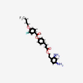 Nc1ccc(CCOC(=O)/C=C/c2ccc(OC(=O)c3ccc(OCCCC(F)(F)F)c(F)c3)cc2)c(N)c1